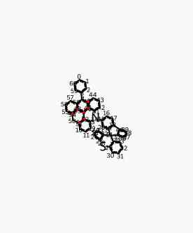 c1ccc(-c2ccc(-c3ccccc3N(c3ccc4c(c3)C3(c5ccccc5Sc5ccccc53)c3ccccc3-4)c3ccccc3C3CCCCC3)c3ccccc23)cc1